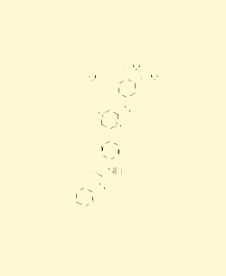 COc1cc(Nc2cncc(-c3ccc(NC(=O)Nc4ccc(Cl)cc4)cc3)n2)cc(OC)c1OC